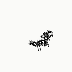 CC(C)n1c(=O)c(-c2cc(F)c(NC(=O)[C@@H]3C[C@H]3F)c(F)c2F)cc2cnc(NC3CCC(N(C)C)CC3)nc21